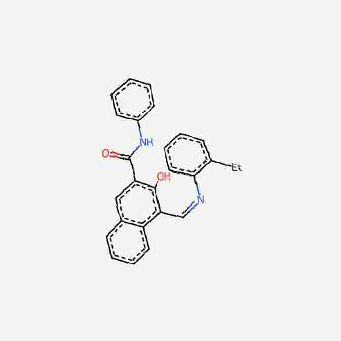 CCc1ccccc1/N=C\c1c(O)c(C(=O)Nc2ccccc2)cc2ccccc12